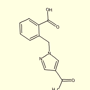 CC(=O)c1cnn(Cc2ccccc2C(=O)O)c1